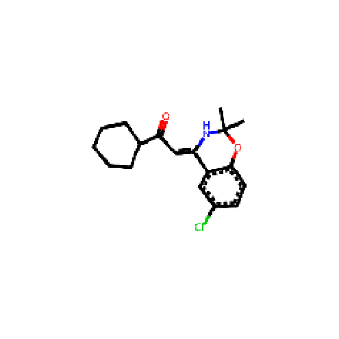 CC1(C)N/C(=C\C(=O)C2CCCCC2)c2cc(Cl)ccc2O1